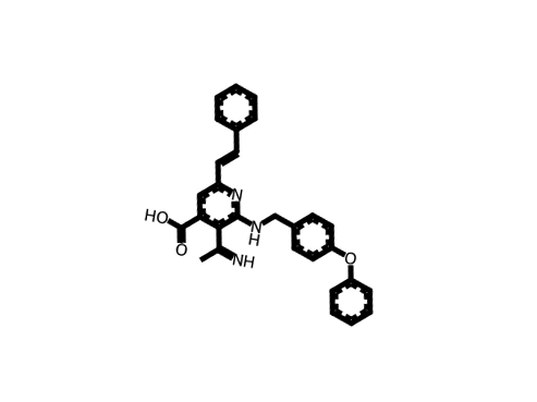 CC(=N)c1c(C(=O)O)cc(/C=C/c2ccccc2)nc1NCc1ccc(Oc2ccccc2)cc1